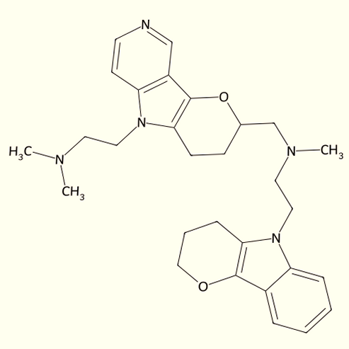 CN(C)CCn1c2c(c3cnccc31)OC(CN(C)CCn1c3c(c4ccccc41)OCCC3)CC2